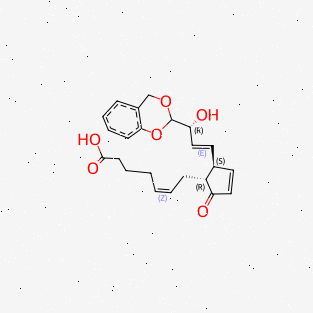 O=C(O)CCC/C=C\C[C@H]1C(=O)C=C[C@@H]1/C=C/[C@@H](O)C1OCc2ccccc2O1